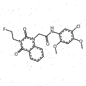 COc1cc(OC)c(NC(=O)Cn2c(=O)n(CCF)c(=O)c3ccccc32)cc1Cl